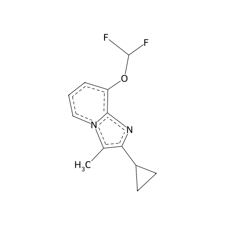 Cc1c(C2CC2)nc2c(OC(F)F)cccn12